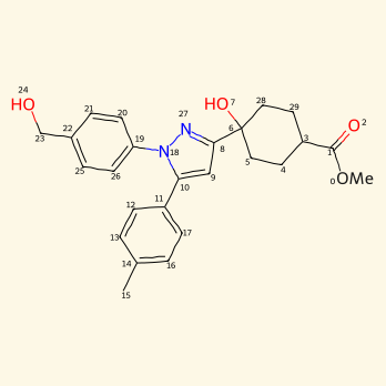 COC(=O)C1CCC(O)(c2cc(-c3ccc(C)cc3)n(-c3ccc(CO)cc3)n2)CC1